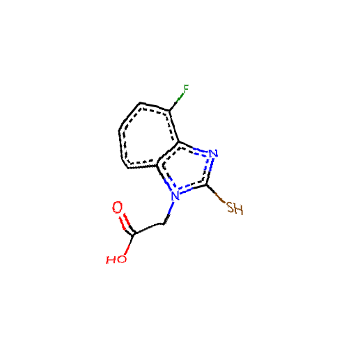 O=C(O)Cn1c(S)nc2c(F)cccc21